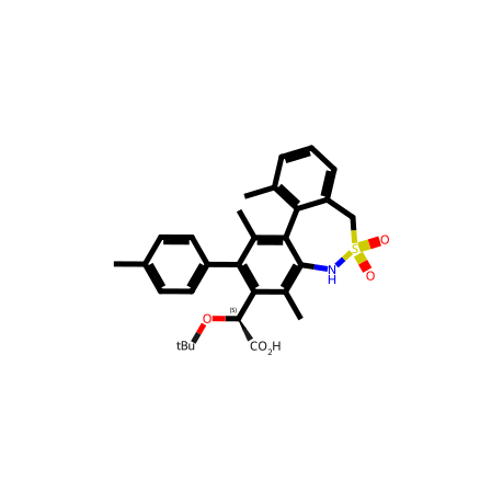 Cc1ccc(-c2c(C)c3c(c(C)c2[C@H](OC(C)(C)C)C(=O)O)NS(=O)(=O)Cc2cccc(C)c2-3)cc1